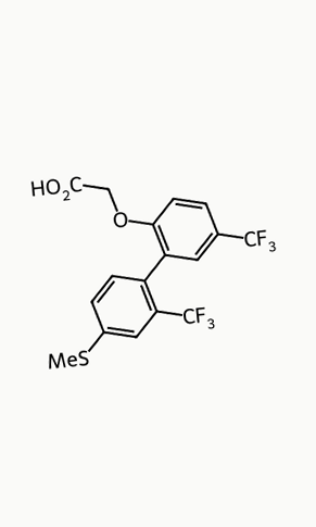 CSc1ccc(-c2cc(C(F)(F)F)ccc2OCC(=O)O)c(C(F)(F)F)c1